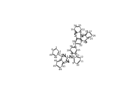 c1ccc(-c2nc(-n3c4ccccc4c4cc(-c5cc6c7c(c5)Sc5ccccc5N7c5ccccc5S6)ccc43)nc3ccccc23)cc1